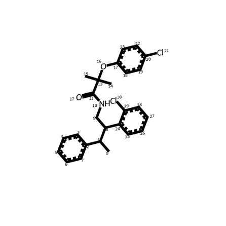 CC(c1ccccc1)C(CNC(=O)C(C)(C)Oc1ccc(Cl)cc1)c1ccccc1Cl